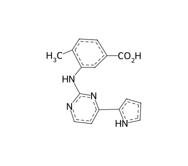 Cc1ccc(C(=O)O)cc1Nc1nccc(-c2ccc[nH]2)n1